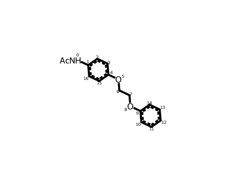 CC(=O)Nc1ccc(OCCOc2ccccc2)cc1